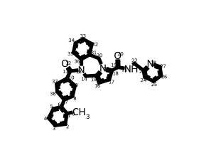 Cc1ccccc1-c1ccc(C(=O)N2Cc3ccc(C(=O)NCc4ccccn4)n3Cc3ccccc32)cc1